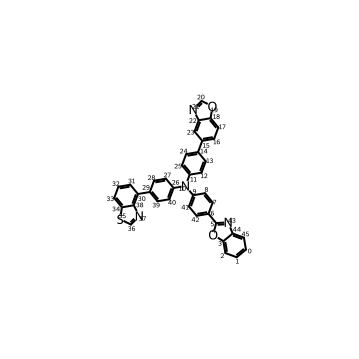 c1ccc2oc(-c3ccc(N(c4ccc(-c5ccc6ocnc6c5)cc4)c4ccc(-c5cccc6scnc56)cc4)cc3)nc2c1